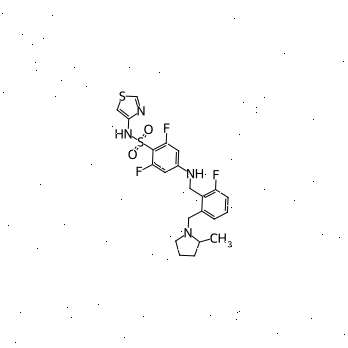 CC1CCCN1Cc1cccc(F)c1CNc1cc(F)c(S(=O)(=O)Nc2cscn2)c(F)c1